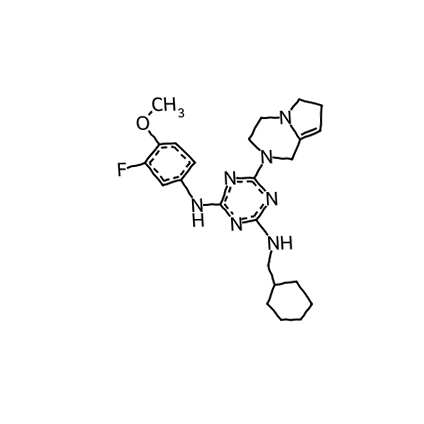 COc1ccc(Nc2nc(NCC3CCCCC3)nc(N3CCN4CCC=C4C3)n2)cc1F